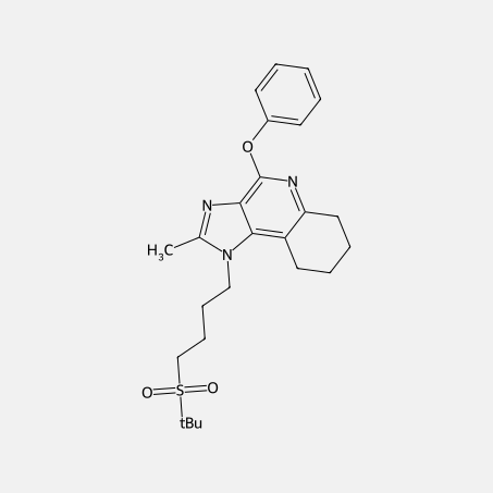 Cc1nc2c(Oc3ccccc3)nc3c(c2n1CCCCS(=O)(=O)C(C)(C)C)CCCC3